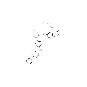 COCCCN1C(=O)COc2ccc(COC3CN(C(=O)O)CCC3c3ccc(C(=O)N4CCC(c5ccccc5)CC4)cc3)cc21